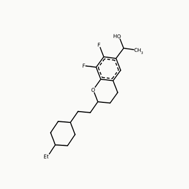 CCC1CCC(CCC2CCc3cc(C(C)O)c(F)c(F)c3O2)CC1